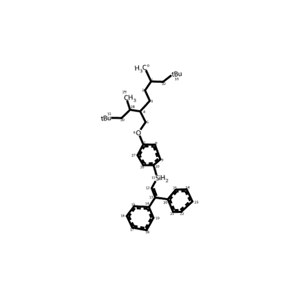 CC(CCC(COc1ccc([SiH2]C=C(c2ccccc2)c2ccccc2)cc1)C(C)CC(C)(C)C)CC(C)(C)C